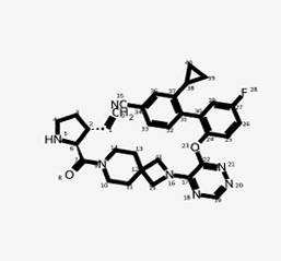 C=C[C@H]1CCN[C@@H]1C(=O)N1CCC2(CC1)CN(c1ncnnc1Oc1ccc(F)cc1-c1ccc(C#N)cc1C1CC1)C2